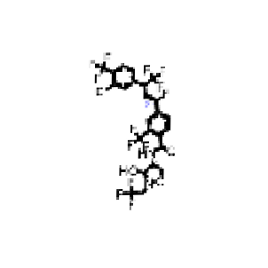 O=C(N[C@@H]1CON(CC(F)(F)F)C1O)c1ccc(/C(F)=C/C(c2ccc(C(F)(F)F)c(Cl)c2)C(F)(F)F)cc1C(F)(F)F